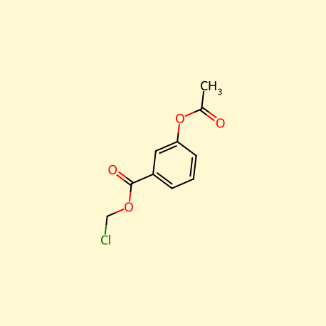 CC(=O)Oc1cccc(C(=O)OCCl)c1